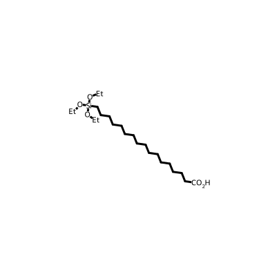 CCO[Si](CCCCCCCCCCCCCCCCC(=O)O)(OCC)OCC